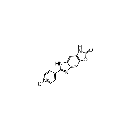 O=c1[nH]c2cc3[nH]c(-c4cc[n+]([O-])cc4)nc3cc2o1